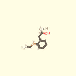 O=C(O)[C@@H](O)Cc1ccccc1SCC(F)(F)F